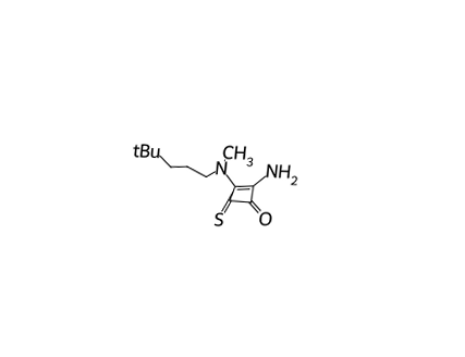 CN(CCCC(C)(C)C)c1c(N)c(=O)c1=S